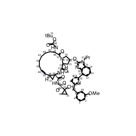 COc1cccc(Cc2csc(-c3cccc4c3nc(O[C@@H]3C[C@H]5C(=O)N[C@]6(C(=O)NS(=O)(=O)C7(C)CC7)C[C@H]6/C=C\CCCCC[C@H](NC(=O)OC(C)(C)C)C(=O)N5C3)n4C(C)C)n2)c1